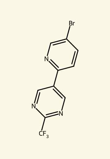 FC(F)(F)c1ncc(-c2ccc(Br)cn2)cn1